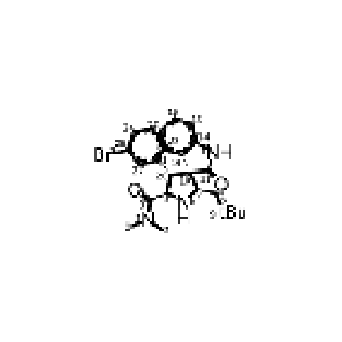 CN(C)C(=O)[C@@H]1N[C@H](CC(C)(C)C)[C@]2(C(=O)Nc3ccccc32)[C@H]1c1cccc(Br)c1